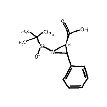 CC(C)(C)[S+]([O-])N1C(c2ccccc2)[C@@H]1C(=O)O